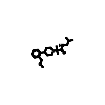 COCc1ccccc1C1CCN(C(C)(C)C(=O)NCC(C)C)CC1